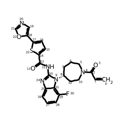 C=CC(=O)N1CCC[C@@H](n2c(NC(=O)c3ccc(-c4cnco4)s3)nc3cccc(F)c32)CC1